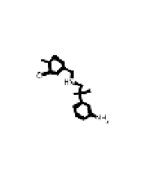 Cc1ccc(CNCC(C)(C)c2cccc(N)c2)cc1Cl